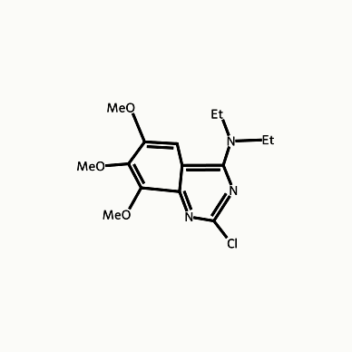 CCN(CC)c1nc(Cl)nc2c(OC)c(OC)c(OC)cc12